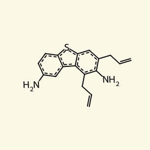 C=CCc1cc2sc3ccc(N)cc3c2c(CC=C)c1N